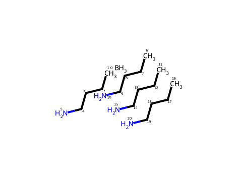 B.CCCCN.CCCCN.CCCCN.CCCCN